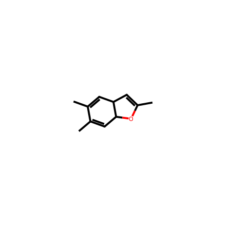 CC1=CC2C=C(C)C(C)=CC2O1